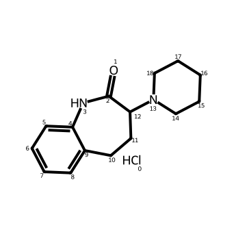 Cl.O=C1Nc2ccccc2CCC1N1CCCCC1